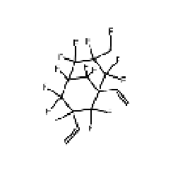 C=CC1(F)C(F)(F)C2(F)C(F)(F)C(F)(CF)C(F)(F)C(C=C)(C1(F)F)C2(F)F